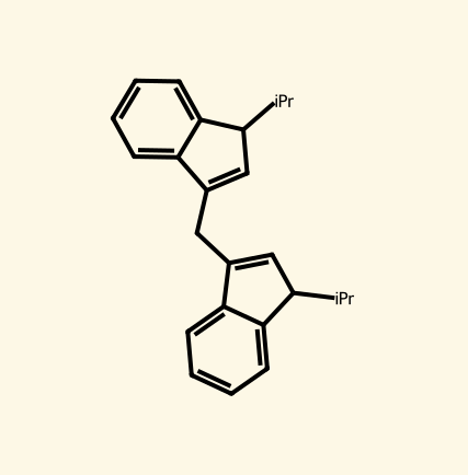 CC(C)C1C=C(CC2=CC(C(C)C)c3ccccc32)c2ccccc21